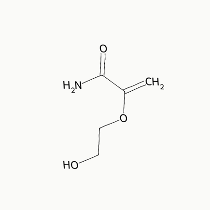 C=C(OCCO)C(N)=O